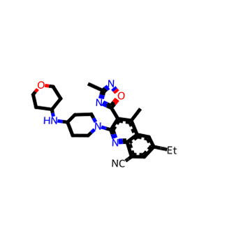 CCc1cc(C#N)c2nc(N3CCC(NC4CCOCC4)CC3)c(-c3nc(C)no3)c(C)c2c1